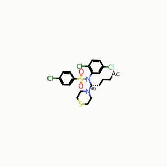 CC(=O)CCC[C@H](N1CCSCC1)N(c1cc(Cl)ccc1Cl)S(=O)(=O)c1ccc(Cl)cc1